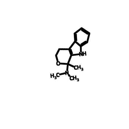 CN(C)C1(C)OCCc2c1[nH]c1ccccc21